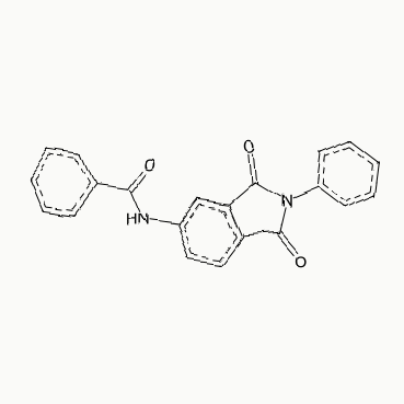 O=C(Nc1ccc2c(c1)C(=O)N(c1ccccc1)C2=O)c1ccccc1